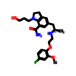 CCOc1cc(F)ccc1OCCN[C@H](C)Cc1cc2c(c(C(N)=O)c1)N(CCCO)CC2